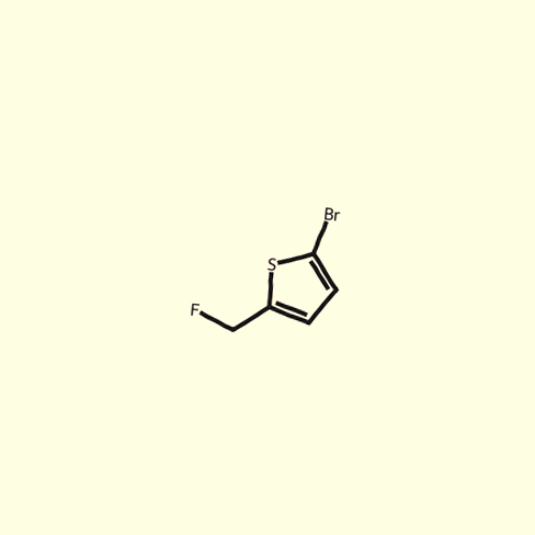 FCc1ccc(Br)s1